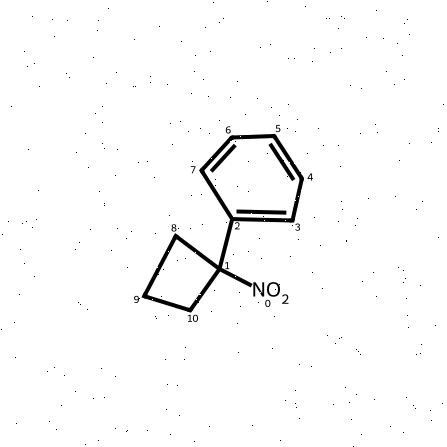 O=[N+]([O-])C1(c2ccccc2)CCC1